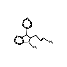 NC=CCC1C(c2ccccc2)c2ccccc2N1N